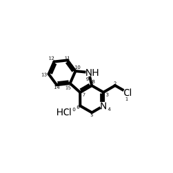 Cl.ClCC1=NCCc2c1[nH]c1ccccc21